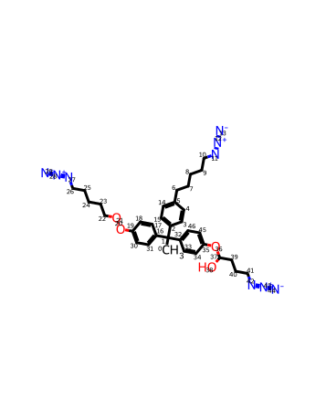 CC(c1ccc(CCCCCN=[N+]=[N-])cc1)(c1ccc(OOCCCCCN=[N+]=[N-])cc1)c1ccc(OC(O)CCCN=[N+]=[N-])cc1